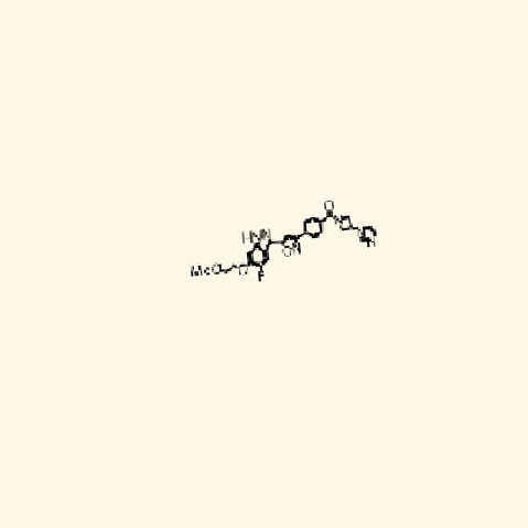 COCCOc1cc2[nH]nc(-c3cc(-c4ccc(C(=O)N5CC(n6ccnc6)C5)cc4)no3)c2cc1F